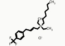 CCCCCCC[N+](CC)(CC)CC=CCc1ccc(C(F)(F)F)cc1.[Cl-]